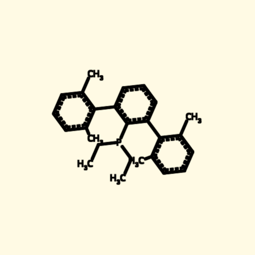 CCP(CC)c1c(-c2c(C)cccc2C)cccc1-c1c(C)cccc1C